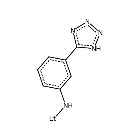 CCNc1cccc(-c2nnn[nH]2)c1